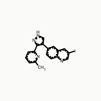 Cc1cccc(-c2n[nH]cc2-c2ccc3ncc(I)cc3c2)n1